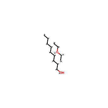 CCCCCCCCCO.CCOCC